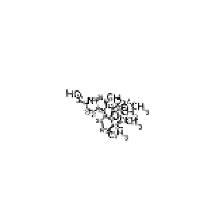 CCOC(=O)[C@@H](OC(C)(C)C)c1c(C)cc2nc(CO)ccc2c1-c1ccc(Cl)cc1